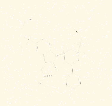 CC(C)(C)CC(C)(C)C1(Cl)C=C(c2ccccc2)C(O)C(C)(n2c3ccc(C(C)(C)C)cc3c3cc(C(C)(C)C)ccc32)C1.[CH3][Zr][CH3]